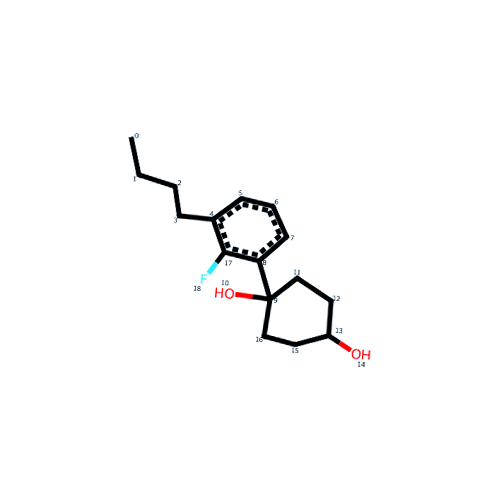 CCCCc1cccc(C2(O)CCC(O)CC2)c1F